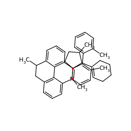 Cc1ccccc1-c1c(C)cccc1-c1cccc2c1-c1c(cccc1N(C)C1CCC(C)C1C1=CCCCC1)CC2C